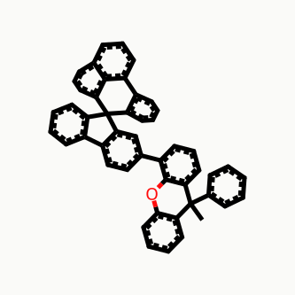 CC1(c2ccccc2)c2ccccc2Oc2c(-c3ccc4c(c3)C3(c5ccccc5-4)c4ccccc4-c4cccc5cccc3c45)cccc21